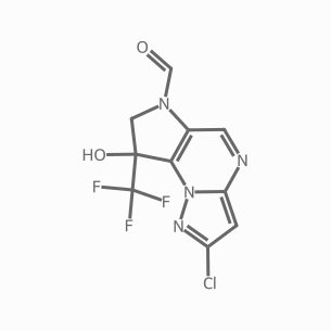 O=CN1CC(O)(C(F)(F)F)c2c1cnc1cc(Cl)nn21